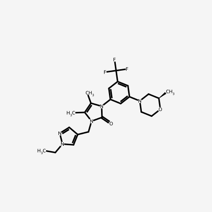 CCn1cc(Cn2c(C)c(C)n(-c3cc(N4CCO[C@H](C)C4)cc(C(F)(F)F)c3)c2=O)cn1